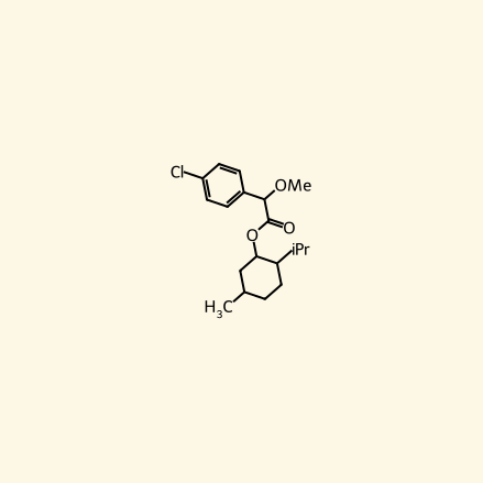 COC(C(=O)OC1CC(C)CCC1C(C)C)c1ccc(Cl)cc1